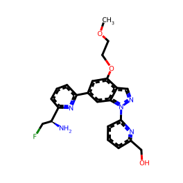 COCCOc1cc(-c2cccc([C@@H](N)CF)n2)cc2c1cnn2-c1cccc(CO)n1